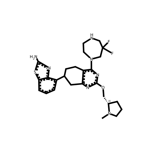 CN1CCC[C@H]1COc1nc2c(c(N3CCNCC(F)(F)C3)n1)CCC(c1cccc3sc(N)nc13)C2